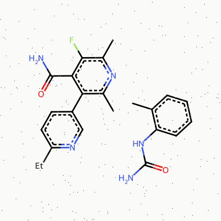 CCc1ccc(-c2c(C)nc(C)c(F)c2C(N)=O)cn1.Cc1ccccc1NC(N)=O